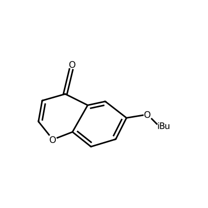 CCC(C)Oc1ccc2occc(=O)c2c1